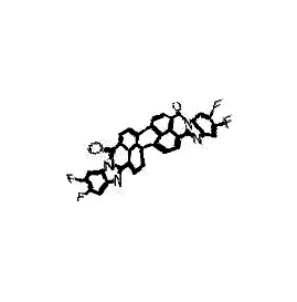 O=c1c2ccc3c4ccc5c(=O)n6c7cc(F)c(F)cc7nc6c6ccc(c7ccc(c2c37)c2nc3cc(F)c(F)cc3n12)c4c56